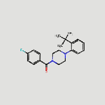 CC(C)(C)c1ccccc1N1CCN(C(=O)c2ccc(F)cc2)CC1